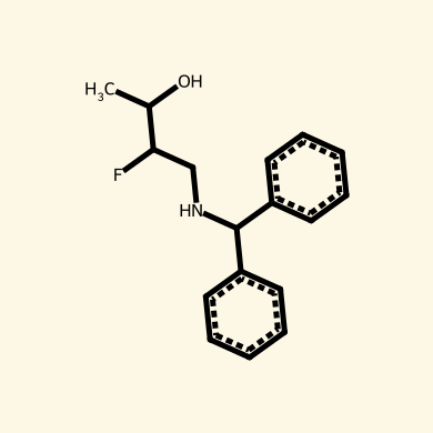 CC(O)C(F)CNC(c1ccccc1)c1ccccc1